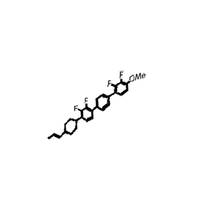 C/C=C/C1CCC(c2ccc(-c3ccc(-c4ccc(OC)c(F)c4F)cc3)c(F)c2F)CC1